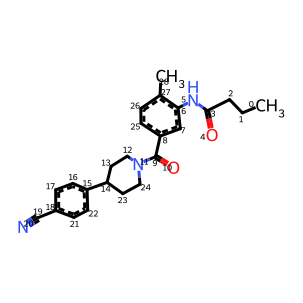 CCCC(=O)Nc1cc(C(=O)N2CCC(c3ccc(C#N)cc3)CC2)ccc1C